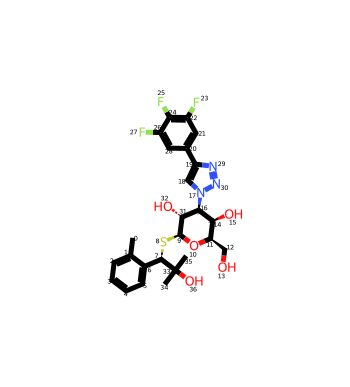 Cc1ccccc1[C@H](S[C@@H]1O[C@H](CO)[C@H](O)[C@H](n2cc(-c3cc(F)c(F)c(F)c3)nn2)[C@H]1O)C(C)(C)O